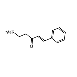 CNCCC(=O)C=Cc1ccccc1